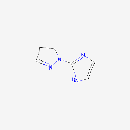 C1=NN(c2ncc[nH]2)CC1